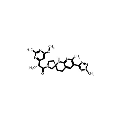 COc1cc([C@@H](C)C(=O)N2CC[C@@]3(CCc4cc(-c5nnn(C)n5)c(C)nc4N3)C2)nc(C)n1